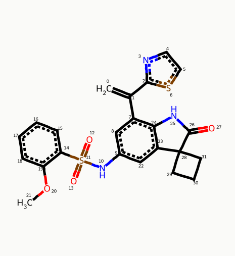 C=C(c1nccs1)c1cc(NS(=O)(=O)c2ccccc2OC)cc2c1NC(=O)C21CCC1